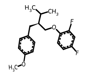 COc1ccc(C[C@H](COc2ccc(F)cc2F)C(C)C)cc1